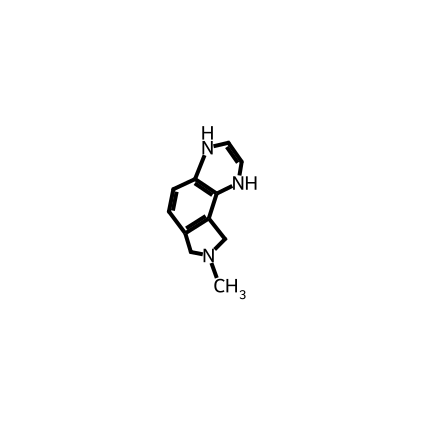 CN1Cc2ccc3c(c2C1)NC=CN3